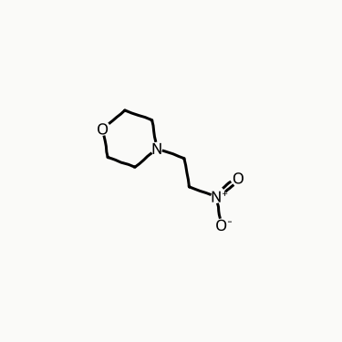 O=[N+]([O-])CCN1CCOCC1